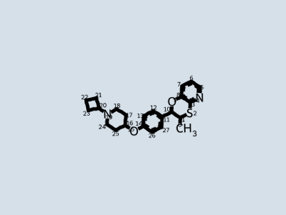 CC1Sc2ncccc2OC1c1ccc(OC2CCN(C3CCC3)CC2)cc1